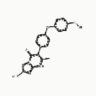 CSc1nc2[nH]c(C)c(-c3ccc(Oc4ccc(OC(F)(F)F)cc4)cc3)c(=O)n2n1